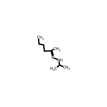 CCCC/C(C)=N/NC(C)C